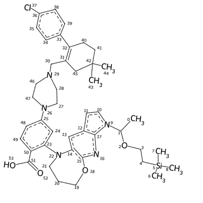 CC(OCC[Si](C)(C)C)n1ccc2cc3c(nc21)OCCCN3c1cc(N2CCN(CC3=C(c4ccc(Cl)cc4)CCC(C)(C)C3)CC2)ccc1C(=O)O